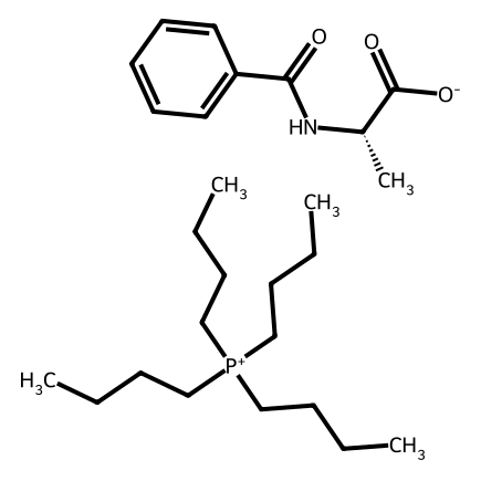 CCCC[P+](CCCC)(CCCC)CCCC.C[C@H](NC(=O)c1ccccc1)C(=O)[O-]